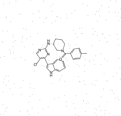 Cc1ccc(C(=O)N2CCC[C@@H](Nc3ncc(Cl)c(-c4c[nH]c5ccccc45)n3)C2)cc1